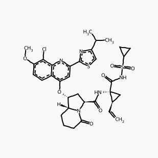 C=C[C@@H]1C[C@]1(NC(=O)[C@@H]1C[C@@H](Oc2cc(-c3nc(C(C)C)cs3)nc3c(Cl)c(OC)ccc23)[C@H]2CCCC(=O)N21)C(=O)NS(=O)(=O)C1CC1